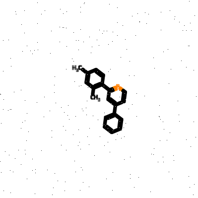 Cc1ccc(-c2cc(-c3ccccc3)ccp2)c(C)c1